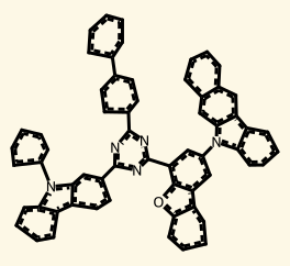 c1ccc(-c2ccc(-c3nc(-c4ccc5c6ccccc6n(-c6ccccc6)c5c4)nc(-c4cc(-n5c6ccccc6c6cc7ccccc7cc65)cc5c4oc4ccccc45)n3)cc2)cc1